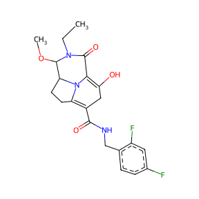 CCN1C(=O)C2=C(O)CC(C(=O)NCc3ccc(F)cc3F)=C3CCC(C1OC)N32